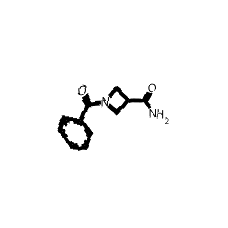 NC(=O)C1CN(C(=O)c2ccccc2)C1